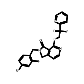 O=C1c2c(ccnc2OCC(F)(F)c2ccccn2)CN1Cc1ccc(Br)cc1F